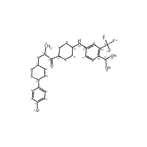 CN(CC1CCN(c2ccc(Cl)cc2)CC1)C(=O)C1CCC(Nc2ccc(N(O)O)c(C(F)(F)F)c2)CC1